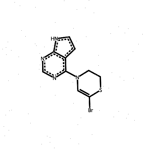 BrC1=CN(c2ncnc3[nH]ccc23)CCS1